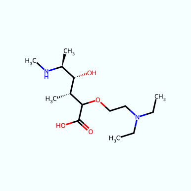 CCN(CC)CCOC(C(=O)O)[C@H](C)[C@@H](O)[C@H](C)NC